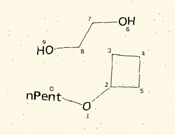 CCCCCOC1CCC1.OCCO